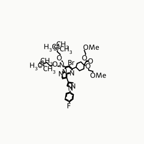 COCCOC(=O)C1(OCCOC)CCC(c2nc3c(-c4cnn(-c5ccc(F)cc5)c4)cnn3c(N(COCC[Si](C)(C)C)COCC[Si](C)(C)C)c2Br)CC1